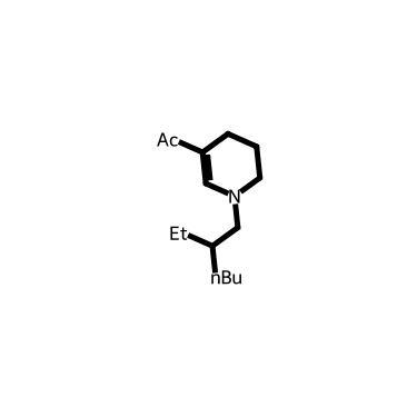 CCCCC(CC)CN1C=C(C(C)=O)CCC1